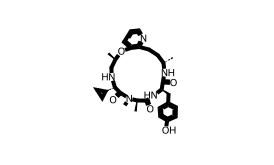 C[C@@H]1CN[C@@H](C2CC2)C(=O)N(C)[C@H](C)C(=O)N[C@H](Cc2ccc(O)cc2)C(=O)N[C@@H](C)CCc2ncccc2O1